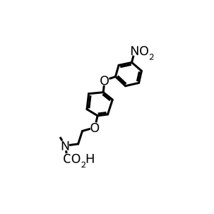 CN(CCOc1ccc(Oc2cccc([N+](=O)[O-])c2)cc1)C(=O)O